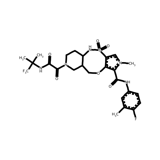 Cc1cc(NC(=O)c2c3c(cn2C)S(=O)(=O)NC2CCN(C(=O)C(=O)NC(C)(C)C(F)(F)F)CC2CO3)ccc1F